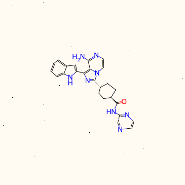 Nc1nccn2c1c(-c1cc3ccccc3[nH]1)nc2[C@H]1CC[C@H](C(=O)Nc2cnccn2)CC1